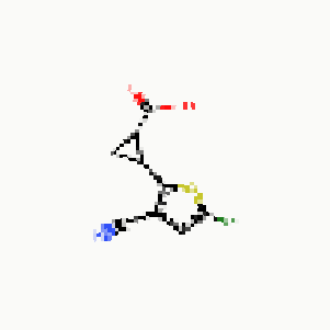 N#Cc1cc(Cl)sc1[C@H]1C[C@@H]1C(=O)O